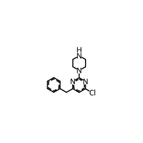 Clc1cc(Cc2ccccc2)nc(N2CCNCC2)n1